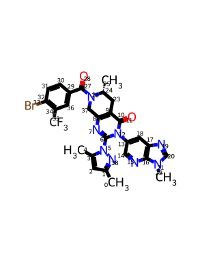 Cc1cc(C)n(-c2nc3c(c(=O)n2-c2cnc4c(c2)ncn4C)C[C@@H](C)N(C(=O)c2ccc(Br)c(C(F)(F)F)c2)C3)n1